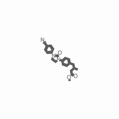 COC(=O)CC(C)Cc1ccc(N2CCN(c3ccc(C#N)cc3)C2=O)cc1